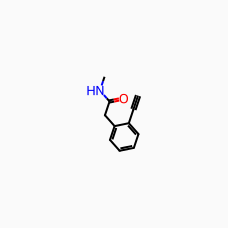 C#Cc1ccccc1CC(=O)NC